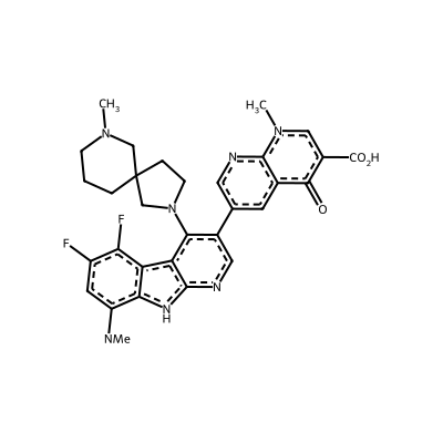 CNc1cc(F)c(F)c2c1[nH]c1ncc(-c3cnc4c(c3)c(=O)c(C(=O)O)cn4C)c(N3CCC4(CCCN(C)C4)C3)c12